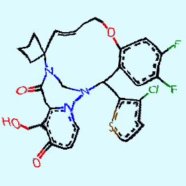 O=C1c2c(O)c(=O)ccn2N2CN1C1(/C=C/COc3cc(F)c(F)cc3C2c2sccc2Cl)CCC1